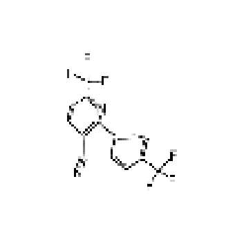 N#Cc1ccc(C(F)(F)F)nc1-c1ccc(C(F)(F)F)cc1